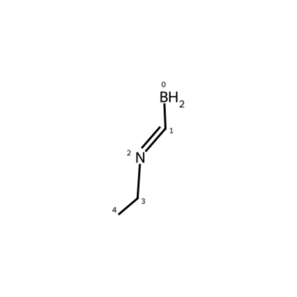 BC=NCC